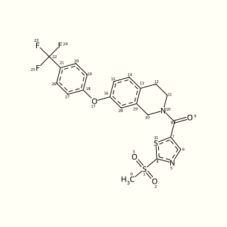 CS(=O)(=O)c1ncc(C(=O)N2CCc3ccc(Oc4ccc(C(F)(F)F)cc4)cc3C2)s1